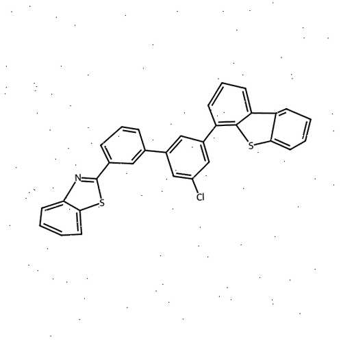 Clc1cc(-c2cccc(-c3nc4ccccc4s3)c2)cc(-c2cccc3c2sc2ccccc23)c1